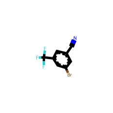 N#Cc1cc(Br)cc(C(F)(F)F)c1